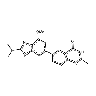 COc1cc(-c2ccc3nc(C)[nH]c(=O)c3c2)cn2nc(N(C)C)nc12